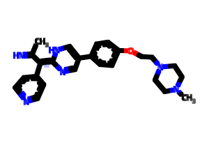 CC(=N)/C(=C1/N=CC(c2ccc(OCCN3CCN(C)CC3)cc2)=CN1)c1ccncc1